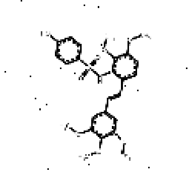 COc1cc(C=Cc2ccc(OC)c(OC)c2NS(=O)(=O)c2ccc(O)cc2)cc(OC)c1OC